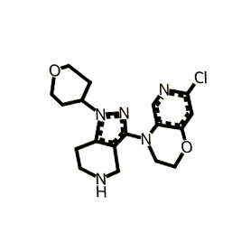 Clc1cc2c(cn1)N(c1nn(C3CCOCC3)c3c1CNCC3)CCO2